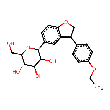 CCOc1ccc(C2COc3ccc([C@@H]4O[C@H](CO)[C@@H](O)[C@H](O)C4O)cc32)cc1